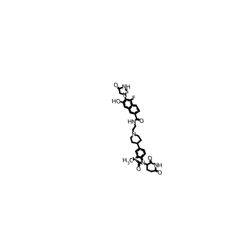 Cn1c(=O)n(C2CCC(=O)NC2=O)c2ccc(C3CCN(CCNC(=O)c4ccc5c(F)c(N6CC(=O)NS6)c(O)cc5c4)CC3)cc21